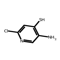 Nc1cnc(Cl)cc1S